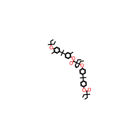 CCC(C)(CC)Oc1ccc(C(C)(C)c2ccc(OC(=O)C(CC)(CC)C(CC)(CC)Oc3ccc(C(C)(C)c4ccc(OC(=O)C(C)(CC)CC)cc4)cc3)c(C)c2)cc1C